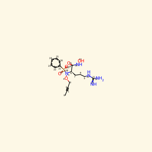 CC#CCON([C@H](CCCNC(=N)N)C(=O)NO)S(=O)(=O)c1ccccc1